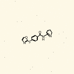 O=C(NC1CC2CCN(CC2)C1)c1ccc(Sc2ncco2)cc1